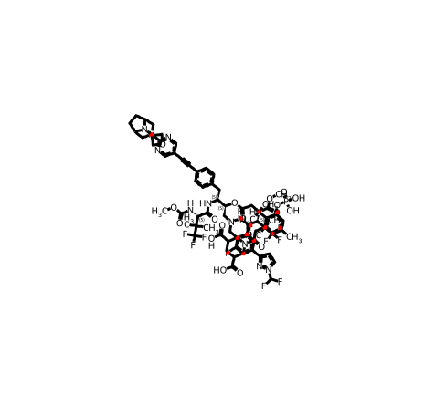 COC(=O)N[C@H](C(=O)N[C@@H](Cc1ccc(C#Cc2cnc(N3CC4CCC(C3)N4C3COC3)nc2)cc1)[C@H](CN(Cc1c(F)cc(-c2ccn(C(F)F)n2)cc1F)NC(=O)[C@@H](NC(=O)OC)C(C)(C)C(F)(F)F)OC(=O)CC(C)(C)c1c(CC(=O)N2CC(C(=O)O)CC(C(=O)O)C2)cc(C)cc1OP(=O)(O)O)C(C)(C)C(F)(F)F